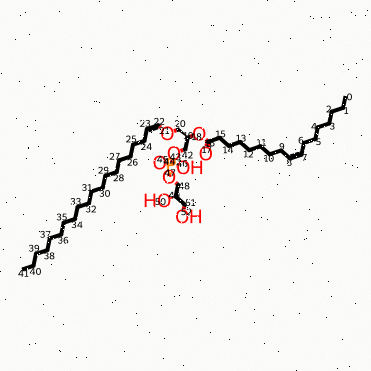 CCCCCCC/C=C\CCCCCCCC(=O)O[C@H](CO/C=C\CCCCCCCCCCCCCCCCCC)COP(=O)(O)OC[C@@H](O)CO